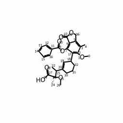 COc1c(C)c2c(c(OC(=O)c3ccccc3)c1C1C=C(C(C)[C@@](C)(OC)C(=O)O)CCC1)C(=O)OC2